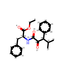 CCOC(=O)[C@H](Cc1ccccc1)NC(=O)C(=O)C(c1ccccc1)C(C)C